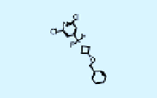 FC(F)(c1cc(Cl)nc(Cl)c1)[C@H]1C[C@H](OCc2ccccc2)C1